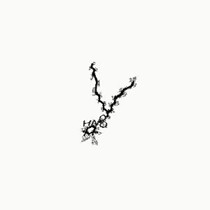 CCCCCCCCCCC(CCCCCCCC)COC(=O)NC1CC(C)(C)CC(C)(C)C1